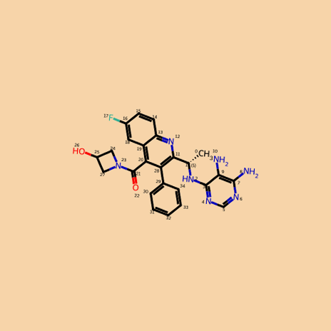 C[C@H](Nc1ncnc(N)c1N)c1nc2ccc(F)cc2c(C(=O)N2CC(O)C2)c1-c1ccccc1